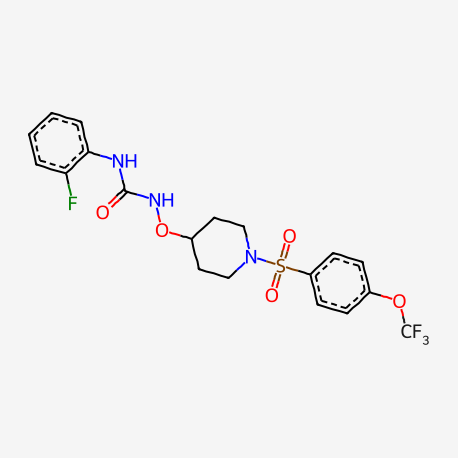 O=C(NOC1CCN(S(=O)(=O)c2ccc(OC(F)(F)F)cc2)CC1)Nc1ccccc1F